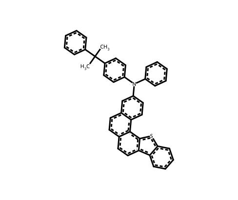 CC(C)(c1ccccc1)c1ccc(N(c2ccccc2)c2ccc3c(ccc4ccc5c6ccccc6sc5c43)c2)cc1